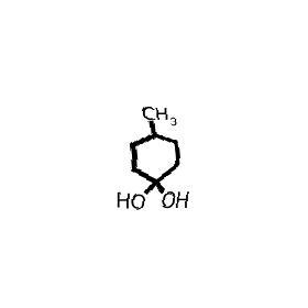 CC1CCC(O)(O)CC1